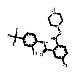 O=C(Nc1ccc(C(F)(F)F)cc1Cl)c1cc(Cl)ccc1NSN1CCNCC1